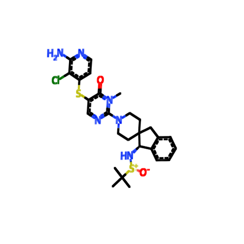 Cn1c(N2CCC3(CC2)Cc2ccccc2[C@H]3N[S@+]([O-])C(C)(C)C)ncc(Sc2ccnc(N)c2Cl)c1=O